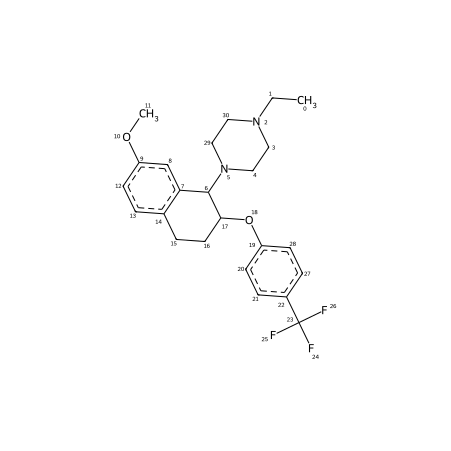 CCN1CCN(C2c3cc(OC)ccc3CCC2Oc2ccc(C(F)(F)F)cc2)CC1